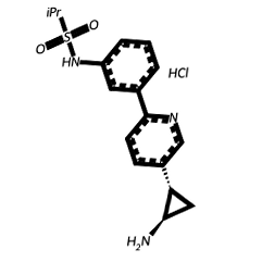 CC(C)S(=O)(=O)Nc1cccc(-c2ccc([C@@H]3C[C@H]3N)cn2)c1.Cl